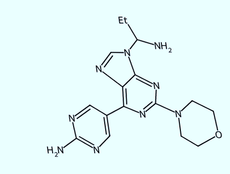 CCC(N)n1cnc2c(-c3cnc(N)nc3)nc(N3CCOCC3)nc21